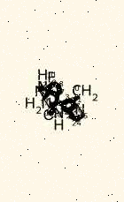 C=Cc1cc2c(-c3ccc(F)c4[nH]ncc34)c(N)c(=O)[nH]c2c2cccnc12